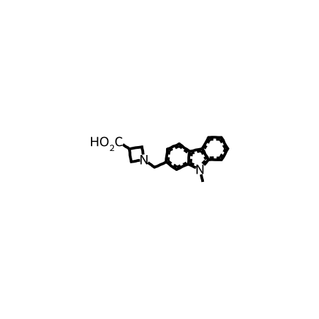 Cn1c2ccccc2c2ccc(CN3CC(C(=O)O)C3)cc21